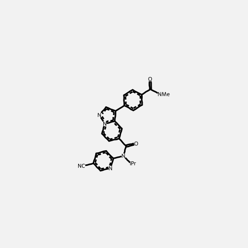 CNC(=O)c1ccc(-c2cnn3ccc(C(=O)N(c4ccc(C#N)cn4)C(C)C)cc23)cc1